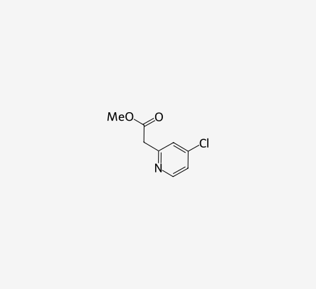 COC(=O)Cc1cc(Cl)ccn1